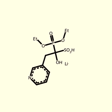 CCOP(=O)(OCC)C(O)(Cc1cccnc1)S(=O)(=O)O.[Li]